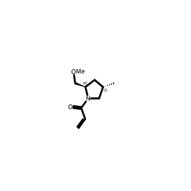 C=CC(=O)N1C[C@@H](C)C[C@@H]1COC